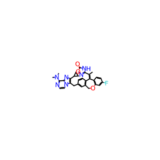 CC(=C1c2ccc(Cc3c(C4CC4)nc4c(N(C)C)nccn34)cc2COc2cc(F)ccc21)c1noc(=O)[nH]1